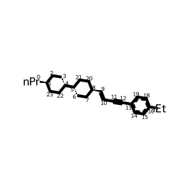 CCC[C@H]1CC[C@H]([C@H]2CC[C@H](C=CC#Cc3ccc(CC)cc3)CC2)CC1